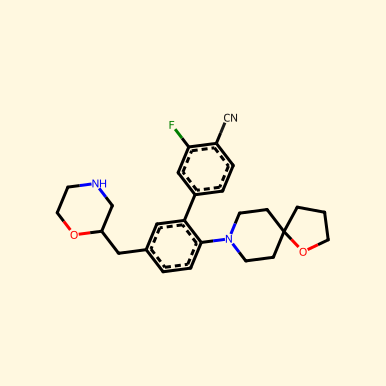 N#Cc1ccc(-c2cc(CC3CNCCO3)ccc2N2CCC3(CCCO3)CC2)cc1F